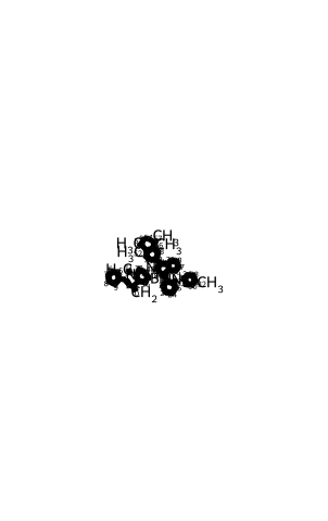 C=C1C=C(c2ccccc2)N(C)c2cc3c(cc21)Bc1c(-c2ccccc2Nc2ccc(C)cc2)c2ccccc2c2c4cc5c(cc4n-3c12)C(C)(C)CCC5(C)C